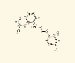 Clc1ccc(OCCNc2ncnc3ccc(Cl)cc23)c(Cl)c1